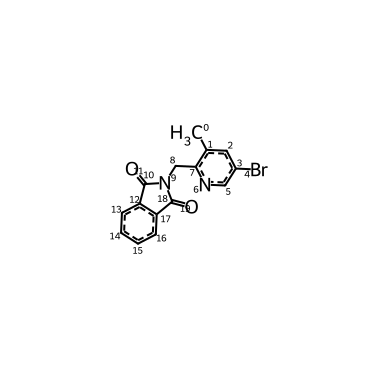 Cc1cc(Br)cnc1CN1C(=O)c2ccccc2C1=O